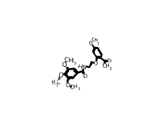 COc1ccc(C(C)=O)c(OCCNC(=O)c2cc(OC)c(OC)c(OC)c2)c1